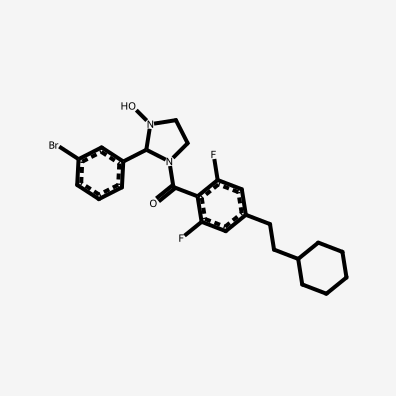 O=C(c1c(F)cc(CCC2CCCCC2)cc1F)N1CCN(O)C1c1cccc(Br)c1